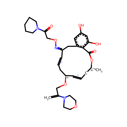 C=C(CO[C@@H]1/C=C/C[C@@H](C)OC(=O)c2c(O)cc(O)cc2CC(=NOCC(=O)N2CCCCC2)/C=C/C1)N1CCOCC1